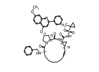 COc1ccc2c(O[C@@H]3C[C@H]4C(=O)N[C@]5(C(=O)NS(=O)(=O)C6(C)CC6)C[C@H]5/C=C\CCCCC[C@H](NCc5ccccc5)C(=O)N4C3)cc(-c3ccccc3)nc2c1